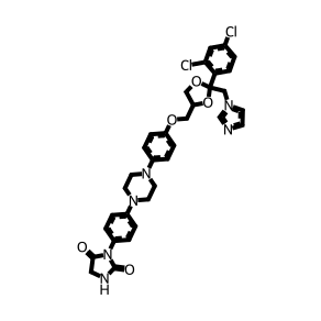 O=C1CNC(=O)N1c1ccc(N2CCN(c3ccc(OCC4COC(Cn5ccnc5)(c5ccc(Cl)cc5Cl)O4)cc3)CC2)cc1